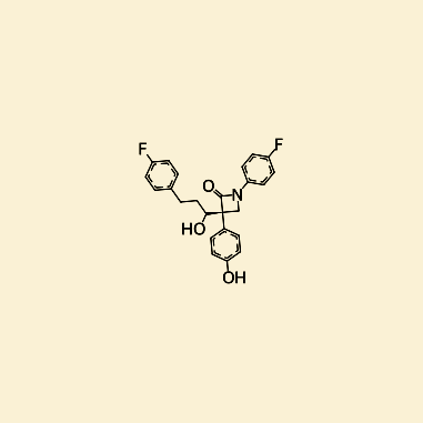 O=C1N(c2ccc(F)cc2)C[C@@]1(c1ccc(O)cc1)C(O)CCc1ccc(F)cc1